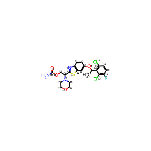 CC(Oc1ccc2nc(C(COC(N)=O)N3CCOCC3)sc2c1)c1c(Cl)ccc(F)c1Cl